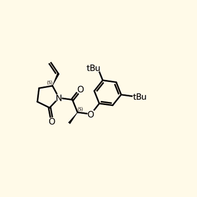 C=C[C@@H]1CCC(=O)N1C(=O)[C@H](C)Oc1cc(C(C)(C)C)cc(C(C)(C)C)c1